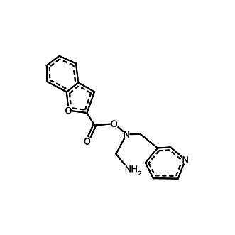 NCN(Cc1cccnc1)OC(=O)c1cc2ccccc2o1